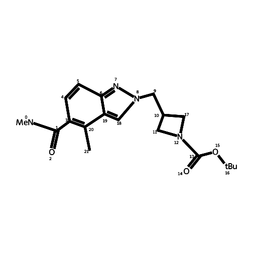 CNC(=O)c1ccc2nn(CC3CN(C(=O)OC(C)(C)C)C3)cc2c1C